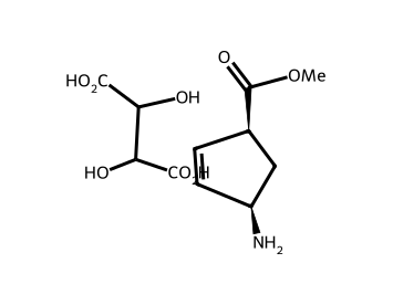 COC(=O)[C@@H]1C=C[C@H](N)C1.O=C(O)C(O)C(O)C(=O)O